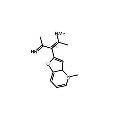 CN/C(C)=C(\C(C)=N)C1=CC2C(=CC=CN2C)O1